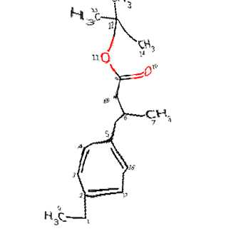 CCc1ccc(C(C)CC(=O)OC(C)(C)C)cc1